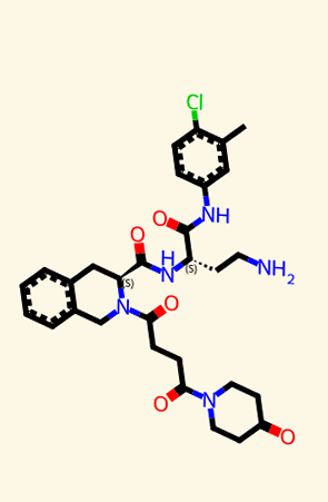 Cc1cc(NC(=O)[C@H](CCN)NC(=O)[C@@H]2Cc3ccccc3CN2C(=O)CCC(=O)N2CCC(=O)CC2)ccc1Cl